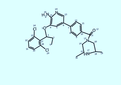 CCC(Oc1cc(-c2ccc(C(=O)N3CC(C)NC(C)C3)cc2)cnc1N)c1c(Cl)cccc1Cl